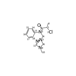 CC(Cl)C(=O)N(CN1CN(C)C=N1)c1ccccc1